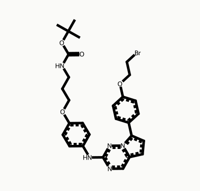 CC(C)(C)OC(=O)NCCCOc1ccc(Nc2ncc3ccc(-c4ccc(OCCBr)cc4)n3n2)cc1